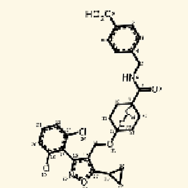 O=C(O)c1ccc(CNC(=O)C23CCC(OCc4c(-c5c(Cl)cccc5Cl)noc4C4CC4)(CC2)CC3)cc1